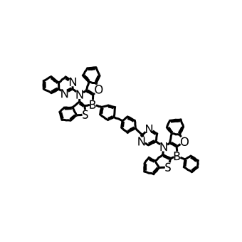 c1ccc(B2c3oc4ccccc4c3N(c3cnc(-c4ccc(-c5ccc(B6c7oc8ccccc8c7N(c7ncc8ccccc8n7)c7c6sc6ccccc76)cc5)cc4)nc3)c3c2sc2ccccc32)cc1